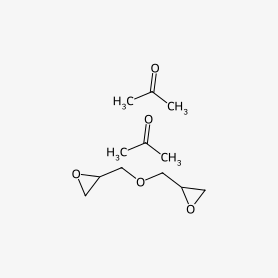 C(OCC1CO1)C1CO1.CC(C)=O.CC(C)=O